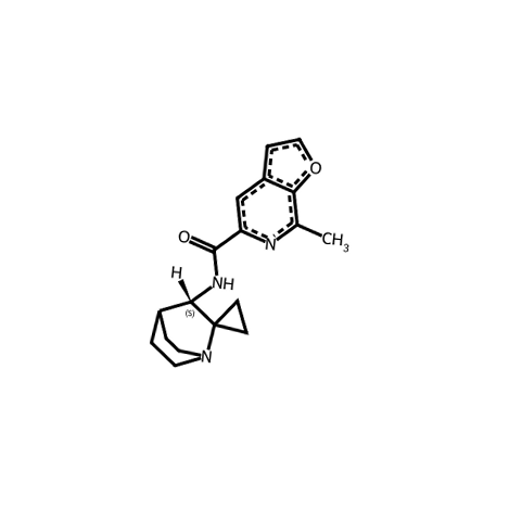 Cc1nc(C(=O)N[C@H]2C3CCN(CC3)C23CC3)cc2ccoc12